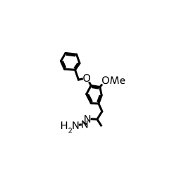 COc1cc(CC(C)N=NN)ccc1OCc1ccccc1